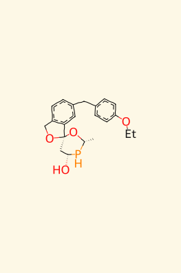 CCOc1ccc(Cc2ccc3c(c2)[C@]2(C[C@@H](O)P[C@@H](C)O2)OC3)cc1